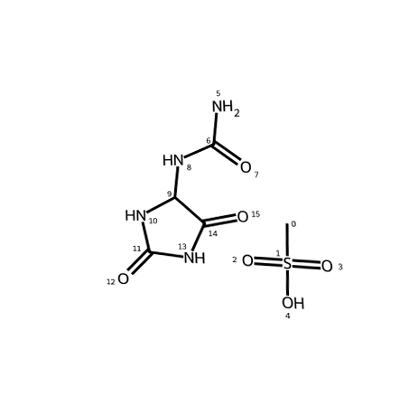 CS(=O)(=O)O.NC(=O)NC1NC(=O)NC1=O